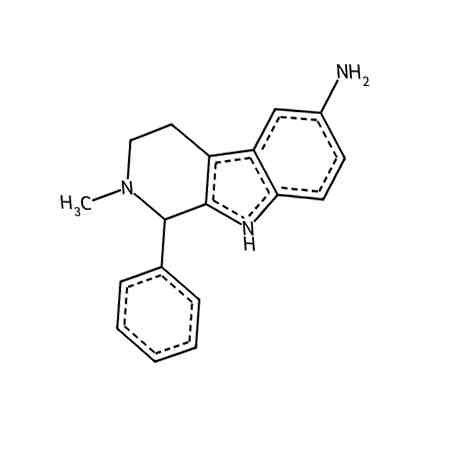 CN1CCc2c([nH]c3ccc(N)cc23)C1c1ccccc1